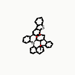 CC1(C)c2ccccc2-c2cccc(N(c3ccccc3-c3ccc4sc5ccccc5c4c3)c3cccc4ccccc34)c21